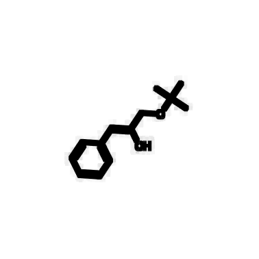 CC(C)(C)OCC(O)=Cc1ccccc1